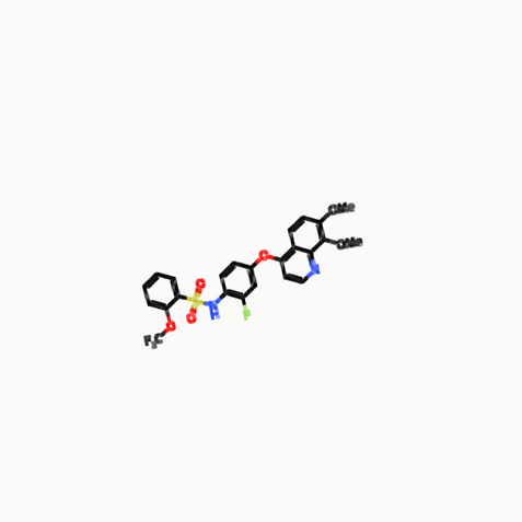 COc1ccc2c(Oc3ccc(NS(=O)(=O)c4ccccc4OC(F)(F)F)c(F)c3)ccnc2c1OC